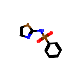 O=S(=O)(Nc1n[c]cs1)c1ccccc1